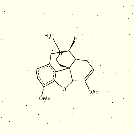 COc1ccc2c3c1OC1C(OC(C)=O)=CCC4[C@@H](C2)N(C)CC[C@]314